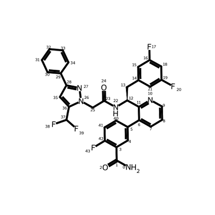 NC(=O)c1cc(-c2cccnc2[C@H](Cc2cc(F)cc(F)c2)NC(=O)Cn2nc(-c3ccccc3)cc2C(F)F)ccc1F